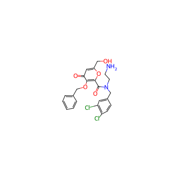 NCCN(Cc1ccc(Cl)c(Cl)c1)C(=O)c1oc(CO)cc(=O)c1OCc1ccccc1